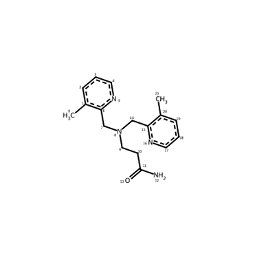 Cc1cccnc1CN(CCC(N)=O)Cc1ncccc1C